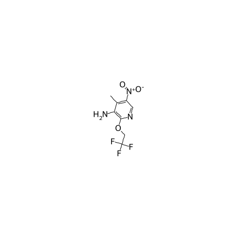 Cc1c([N+](=O)[O-])cnc(OCC(F)(F)F)c1N